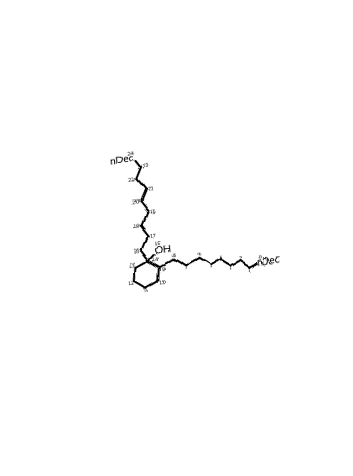 CCCCCCCCCCCCCCCCCCC1CCCCC1(O)CCCCCCCCCCCCCCCCCC